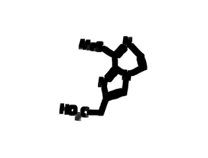 CSc1nccn2cc(CC(=O)O)nc12